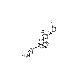 Nc1nc(C#Cc2cc3ncnc(Nc4ccc(OCc5cccc(F)c5)c(Cl)c4)c3s2)cs1